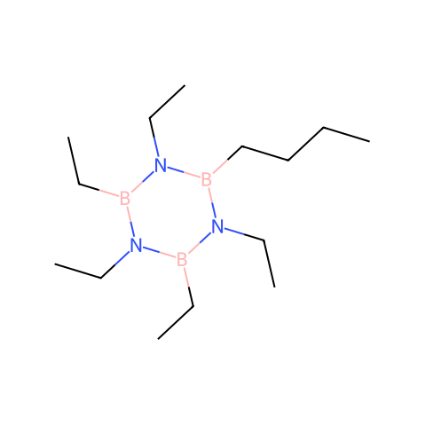 CCCCB1N(CC)B(CC)N(CC)B(CC)N1CC